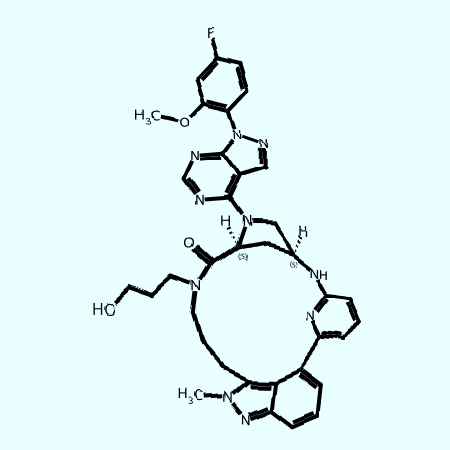 COc1cc(F)ccc1-n1ncc2c(N3C[C@@H]4C[C@H]3C(=O)N(CCCO)CCCc3c5c(cccc5nn3C)-c3cccc(n3)N4)ncnc21